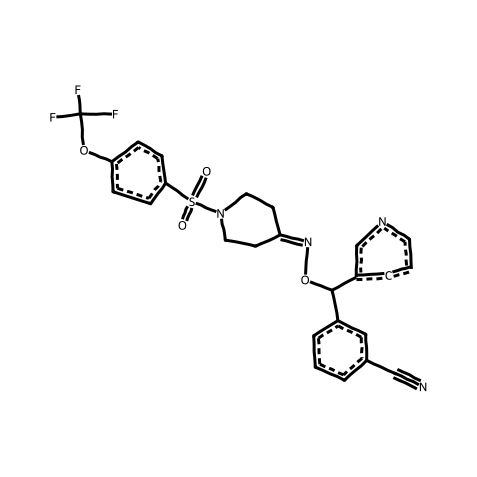 N#Cc1cccc(C(ON=C2CCN(S(=O)(=O)c3ccc(OC(F)(F)F)cc3)CC2)c2cccnc2)c1